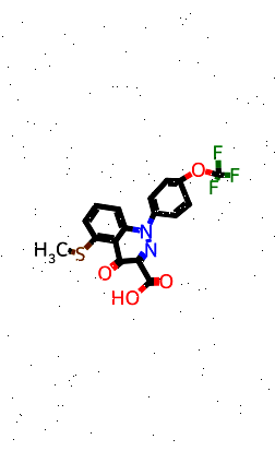 CSc1cccc2c1c(=O)c(C(=O)O)nn2-c1ccc(OC(F)(F)F)cc1